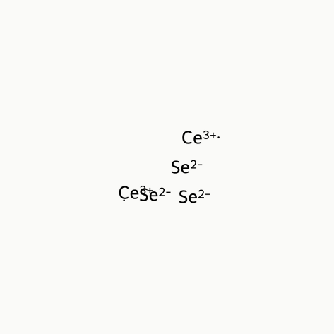 [Ce+3].[Ce+3].[Se-2].[Se-2].[Se-2]